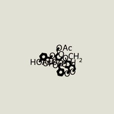 C=C[C@H]1[C@H](O[C@@H]2O[C@H](COC(C)=O)[C@@H](OC(=O)c3cccc(O)c3O)[C@H](OC(C)=O)[C@H]2OC(=O)c2ccccc2)OC=C2C(=O)OCC[C@H]21